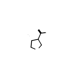 O=C([O-])C1CCOC1.[Na+]